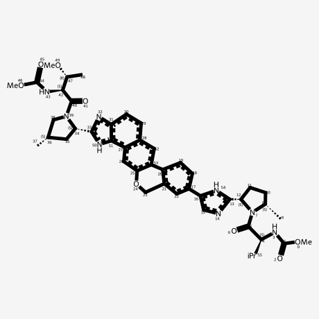 COC(=O)N[C@H](C(=O)N1[C@@H](C)CC[C@H]1c1ncc(-c2ccc3c(c2)COc2cc4c(ccc5nc([C@@H]6C[C@H](C)CN6C(=O)[C@@H](NC(=O)OC)[C@@H](C)OC)[nH]c54)cc2-3)[nH]1)C(C)C